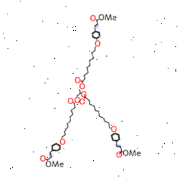 COC(=O)/C=C/c1ccc(OCCCCCCCCCCC(=O)OCC(COC(=O)CCCCCCCCCCOc2ccc(/C=C/C(=O)OC)cc2)OC(=O)CCCCCCCCCCOc2ccc(/C=C/C(=O)OC)cc2)cc1